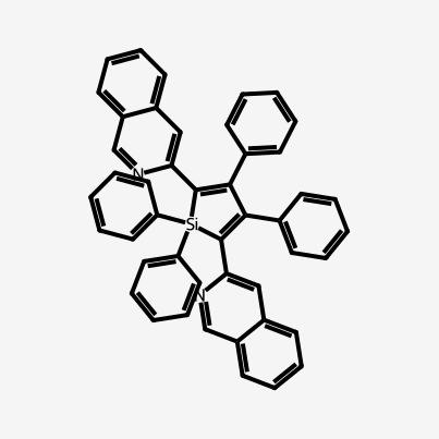 c1ccc(C2=C(c3cc4ccccc4cn3)[Si](c3ccccc3)(c3ccccc3)C(c3cc4ccccc4cn3)=C2c2ccccc2)cc1